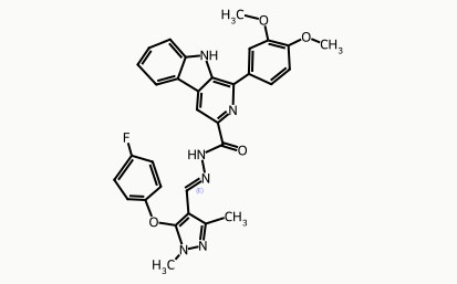 COc1ccc(-c2nc(C(=O)N/N=C/c3c(C)nn(C)c3Oc3ccc(F)cc3)cc3c2[nH]c2ccccc23)cc1OC